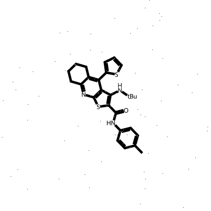 Cc1ccc(NC(=O)c2sc3nc4c(c(-c5cccs5)c3c2NC(C)(C)C)CCCC4)cc1